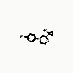 CC(C)c1ccc(N2CCO[C@H](C3(O)CC3)C2)cn1